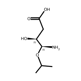 CC(C)O[C@H](N)[C@@H](O)CC(=O)O